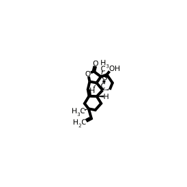 C=C[C@]1(C)CC[C@@H]2C(=CC3OC(=O)[C@]4(C)[C@H]3[C@]23CCC4(O)OC3)C1